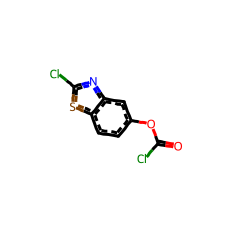 O=C(Cl)Oc1ccc2sc(Cl)nc2c1